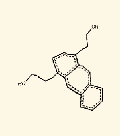 OCCc1ccc(CCO)c2cc3ccccc3cc12